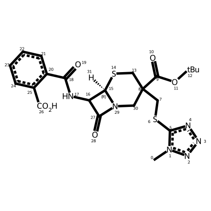 Cn1nnnc1SCC1(C(=O)OC(C)(C)C)CS[C@@H]2C(NC(=O)c3ccccc3C(=O)O)C(=O)N2C1